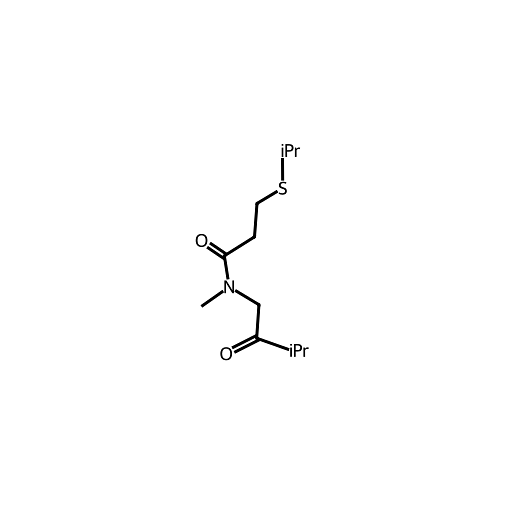 CC(C)SCCC(=O)N(C)CC(=O)C(C)C